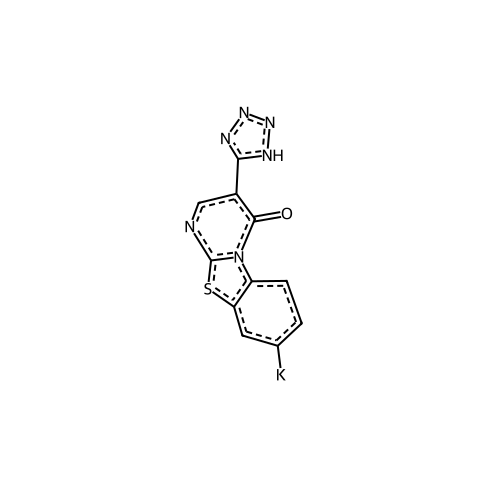 O=c1c(-c2nnn[nH]2)cnc2sc3c[c]([K])ccc3n12